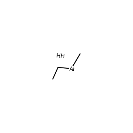 C[CH2][Al][CH3].[HH]